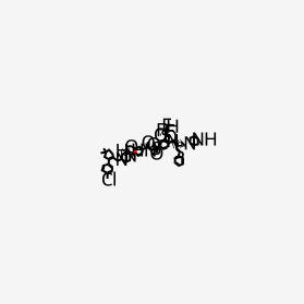 CC1(C)CCC(CN2CCN3c4ccc(C(=O)NS(=O)(=O)c5ccc(N[C@H](CCN6CCNCC6)CSc6ccccc6)c(S(=O)(=O)C(F)(F)F)c5)cc4OC[C@@H]3C2)=C(c2ccc(Cl)cc2)C1